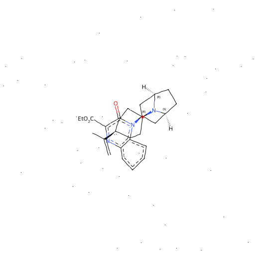 C=C(C)[C@H]1CC[C@@H](N2[C@@H]3CC[C@H]2C[C@@H](n2c(=O)c(C(=O)OCC)nc4ccccc42)C3)CC1